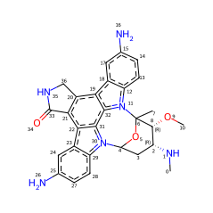 CN[C@@H]1CC2OC(C)([C@@H]1OC)n1c3ccc(N)cc3c3c4c(c5c6cc(N)ccc6n2c5c31)C(=O)NC4